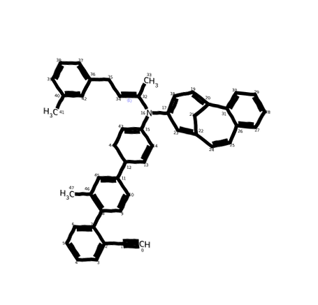 C#Cc1ccccc1-c1ccc(C2C=CC(N(C3=CC=C4CC(=C3)C=Cc3ccccc34)/C(C)=C/Cc3cccc(C)c3)=CC2)cc1C